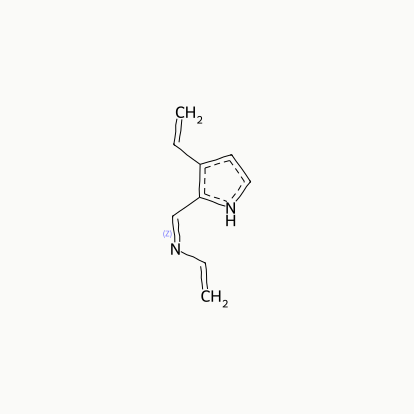 C=C/N=C\c1[nH]ccc1C=C